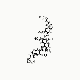 COc1cc(S(=O)(=O)CCOS(=O)(=O)O)c(C)cc1N=Nc1c(S(=O)(=O)O)cc2c(N=Nc3ccc(S(=O)(=O)CCOS(=O)(=O)O)cc3S(=O)(=O)O)c(N)ccc2c1O